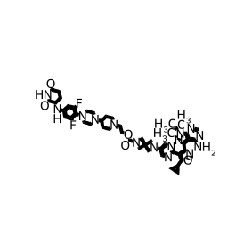 CC(C)(C)n1nc(-c2noc(C3CC3)c2-c2ncc(N3CC4(CN(C(=O)OCCN5CCC(N6CCN(c7c(F)cc(N[C@H]8CCC(=O)NC8=O)cc7F)CC6)CC5)C4)C3)cn2)c2c(N)ncnc21